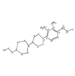 CCCC1CCC(C2CCC(c3ccc(OCC)c(P)c3P)CC2)CC1